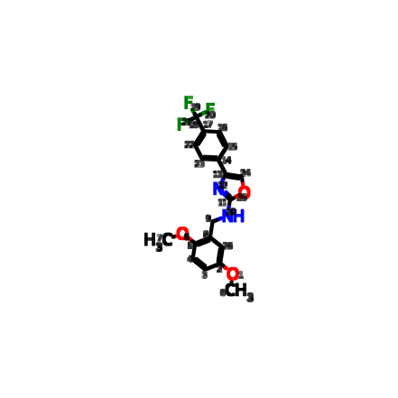 COc1ccc(OC)c(CNc2nc(-c3ccc(C(F)(F)F)cc3)co2)c1